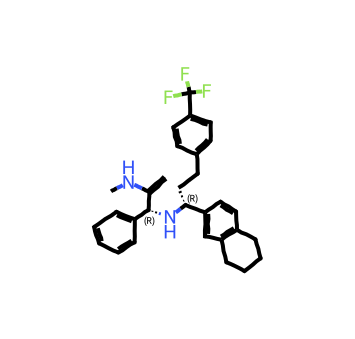 C=C(NC)[C@H](N[C@H](CCc1ccc(C(F)(F)F)cc1)c1ccc2c(c1)CCCC2)c1ccccc1